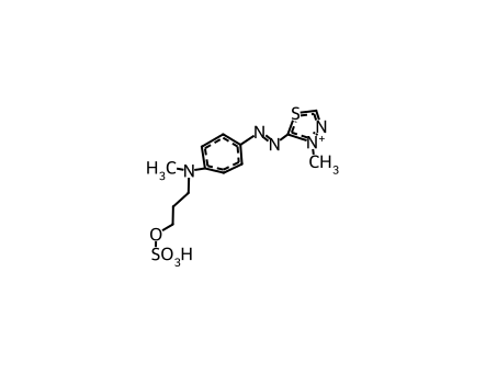 CN(CCCOS(=O)(=O)O)c1ccc(N=Nc2scn[n+]2C)cc1